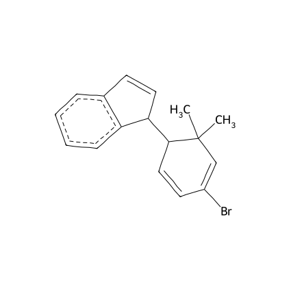 CC1(C)C=C(Br)C=CC1C1C=Cc2ccccc21